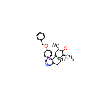 C[C@@H]1C(=O)C(C#N)C[C@]2(c3cccc(OCc4ccccc4)c3)c3ncncc3CC[C@@H]12